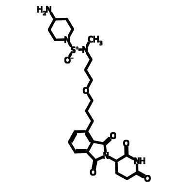 CN(CCCOCCCc1cccc2c1C(=O)N(C1CCC(=O)NC1=O)C2=O)[S+]([O-])N1CCC(N)CC1